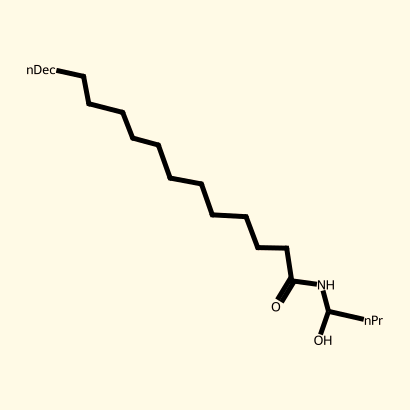 CCCCCCCCCCCCCCCCCCCCCC(=O)NC(O)CCC